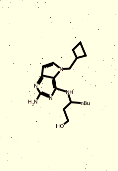 CCCCC(CCO)Nc1nc(N)nc2ccn(CC3CCC3)c12